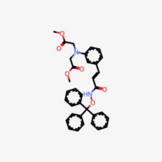 COC(=O)CN(CC(=O)OC)c1cccc(/C=C/C(=O)NOC(c2ccccc2)(c2ccccc2)c2ccccc2)c1